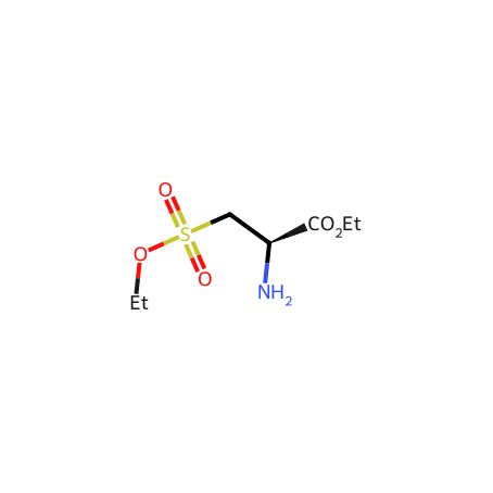 CCOC(=O)[C@@H](N)CS(=O)(=O)OCC